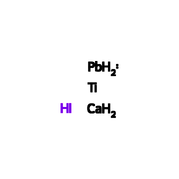 I.[CaH2].[PbH2].[Ti]